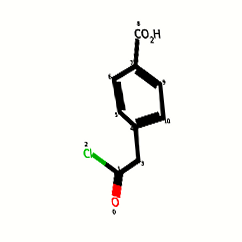 O=C(Cl)Cc1ccc(C(=O)O)cc1